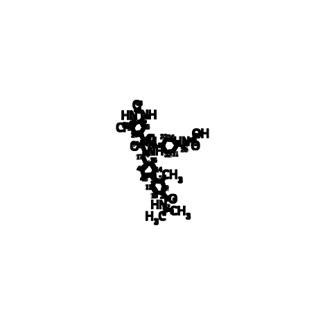 Cc1cc(C(=O)NC(C)C)ccc1-c1ccc(C[C@H](NC(=O)[C@H]2CC[C@H](CNC(=O)O)CC2)C(=O)Nc2cc(Cl)c3[nH]c(=O)[nH]c3c2)cc1